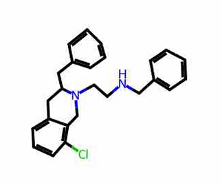 Clc1cccc2c1CN(CCNCc1ccccc1)C(Cc1ccccc1)C2